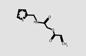 C=CC(=O)OCC(=O)NCc1cccs1